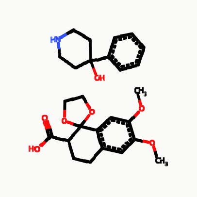 COc1cc2c(cc1OC)C1(OCCO1)C(C(=O)O)CC2.OC1(c2ccccc2)CCNCC1